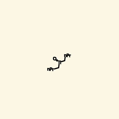 CCC[CH2][Ti](=[O])[CH2]CCC